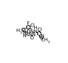 Cn1cnc(Cn2c(=O)nc(Nc3cc4cn(C)nc4cc3Cl)n(Cc3cc(Cl)cc(F)c3Cl)c2=O)n1